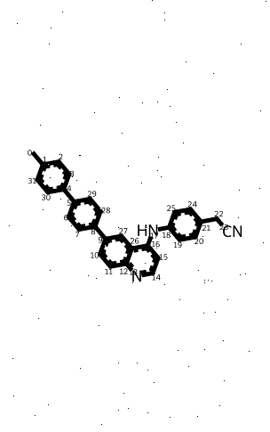 Cc1ccc(-c2ccc(-c3ccc4nccc(Nc5ccc(CC#N)cc5)c4c3)cc2)cc1